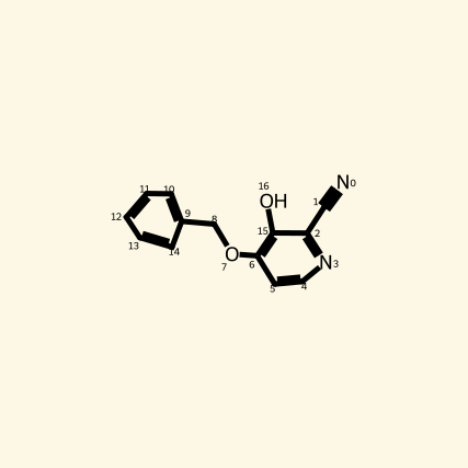 N#Cc1nccc(OCc2ccccc2)c1O